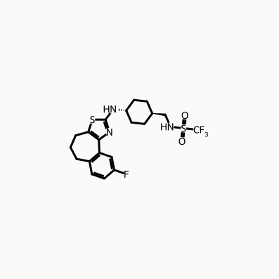 O=S(=O)(NC[C@H]1CC[C@H](Nc2nc3c(s2)CCCc2ccc(F)cc2-3)CC1)C(F)(F)F